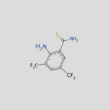 NC(=S)c1cc(C(F)(F)F)cc(C(F)(F)F)c1N